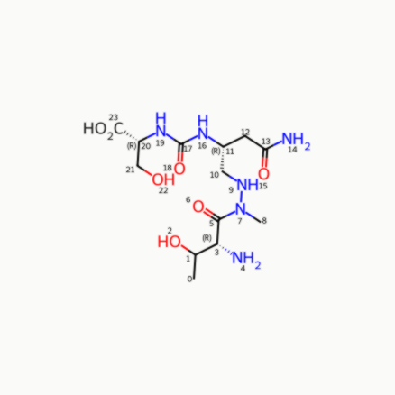 CC(O)[C@@H](N)C(=O)N(C)NC[C@@H](CC(N)=O)NC(=O)N[C@H](CO)C(=O)O